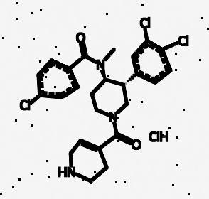 CN(C(=O)c1ccc(Cl)cc1)[C@@H]1CCN(C(=O)C2=CCNCC2)C[C@H]1c1ccc(Cl)c(Cl)c1.Cl